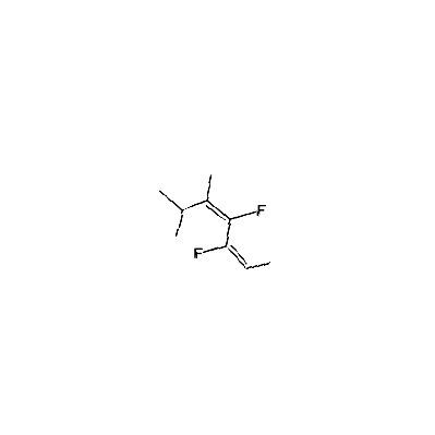 C/C=C(F)\C(F)=C(\C)C(C)C